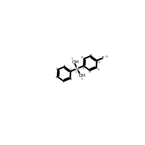 O[Si](O)(c1ccccc1)c1ccc(F)cc1